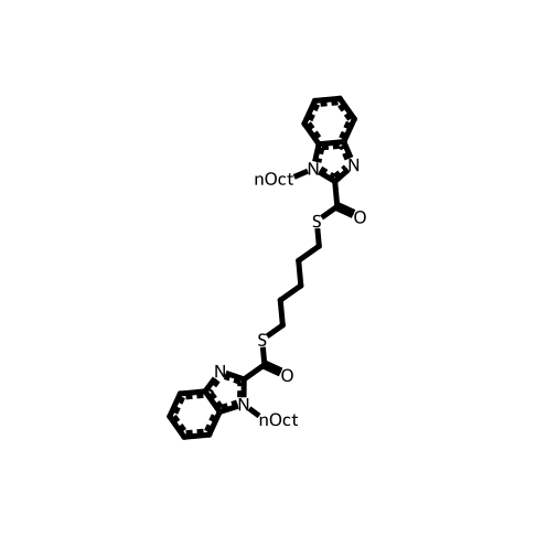 CCCCCCCCn1c(C(=O)SCCCCCSC(=O)c2nc3ccccc3n2CCCCCCCC)nc2ccccc21